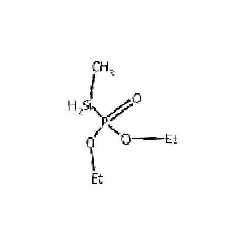 CCOP(=O)(OCC)[SiH2]C